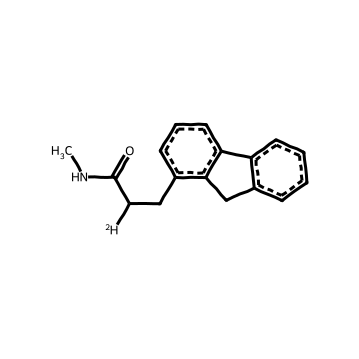 [2H]C(Cc1cccc2c1Cc1ccccc1-2)C(=O)NC